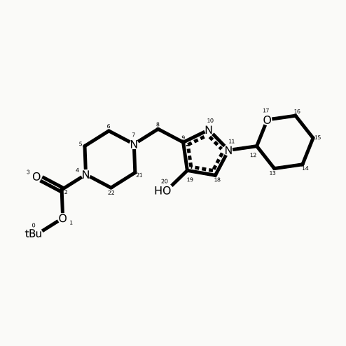 CC(C)(C)OC(=O)N1CCN(Cc2nn(C3CCCCO3)cc2O)CC1